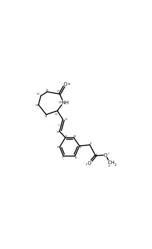 COC(=O)Cc1cccc(/C=C/C2CCCCC(=O)N2)c1